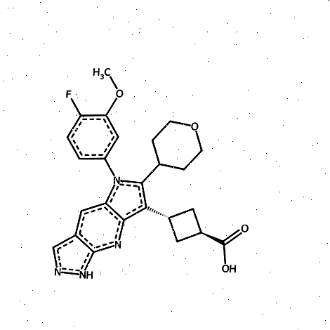 COc1cc(-n2c(C3CCOCC3)c([C@H]3C[C@H](C(=O)O)C3)c3nc4[nH]ncc4cc32)ccc1F